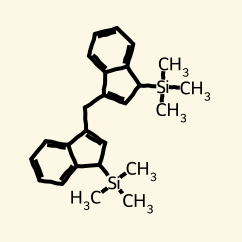 C[Si](C)(C)C1C=C(CC2=CC([Si](C)(C)C)c3ccccc32)c2ccccc21